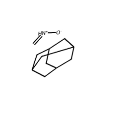 C1C2CC3CC1CC(C2)C3.C=[NH+][O-]